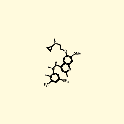 COc1cc2nc(C)nc(N[C@H](C)c3cc(N)cc(C(F)(F)F)c3F)c2cc1OCCN(C)C1CC1